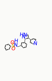 O=S(=O)(NCc1cccc(-c2n[nH]cc2-c2ccncc2)c1)c1ccccc1